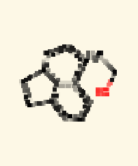 C1=Cc2cccc3cccc1c23.CCO